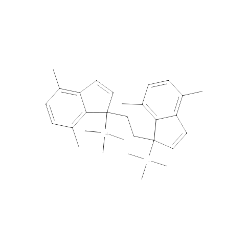 Cc1ccc(C)c2c1C=CC2(CCC1([Si](C)(C)C)C=Cc2c(C)ccc(C)c21)[Si](C)(C)C